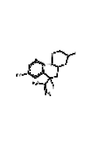 C=C(C)C1(F)CC2CN(I)CCN2c2ncc(C(F)(F)F)cc21